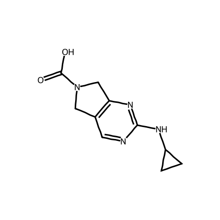 O=C(O)N1Cc2cnc(NC3CC3)nc2C1